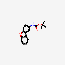 CC(C)(C)OC(=O)Nc1ccc2oc3ccccc3c2c1